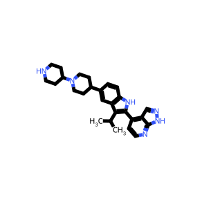 CC(C)c1c(-c2ccnc3[nH]ncc23)[nH]c2ccc(C3CCN(C4CCNCC4)CC3)cc12